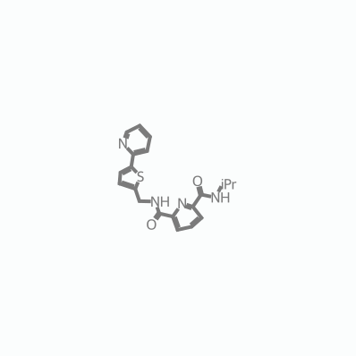 CC(C)NC(=O)c1cccc(C(=O)NCc2ccc(-c3ccccn3)s2)n1